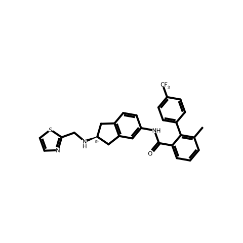 Cc1cccc(C(=O)Nc2ccc3c(c2)C[C@@H](NCc2nccs2)C3)c1-c1ccc(C(F)(F)F)cc1